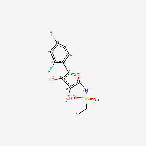 CCS(=O)(=O)Nc1oc(-c2ccc(F)cc2F)c(O)c1O